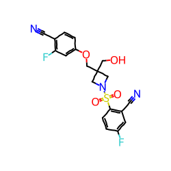 N#Cc1ccc(OCC2(CO)CN(S(=O)(=O)c3ccc(F)cc3C#N)C2)cc1F